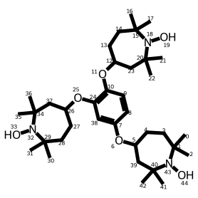 CC1(C)CCC(Oc2ccc(OC3CCC(C)(C)N(O)C(C)(C)C3)c(OC3CCC(C)(C)N(O)C(C)(C)C3)c2)CC(C)(C)N1O